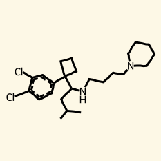 CC(C)CC(NCCCCN1CCCCC1)C1(c2ccc(Cl)c(Cl)c2)CCC1